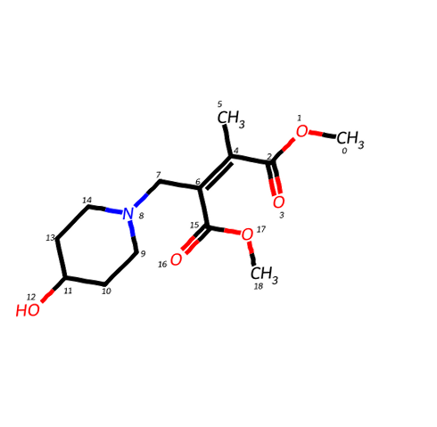 COC(=O)/C(C)=C(/CN1CCC(O)CC1)C(=O)OC